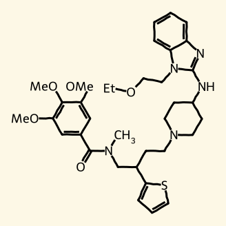 CCOCCn1c(NC2CCN(CCC(CN(C)C(=O)c3cc(OC)c(OC)c(OC)c3)c3cccs3)CC2)nc2ccccc21